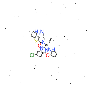 C#CC[C@H](c1nc2cc(Cl)ccc2c(=O)n1Nc1ccccc1)N(CCCN)C(=O)c1cc2ccccc2s1